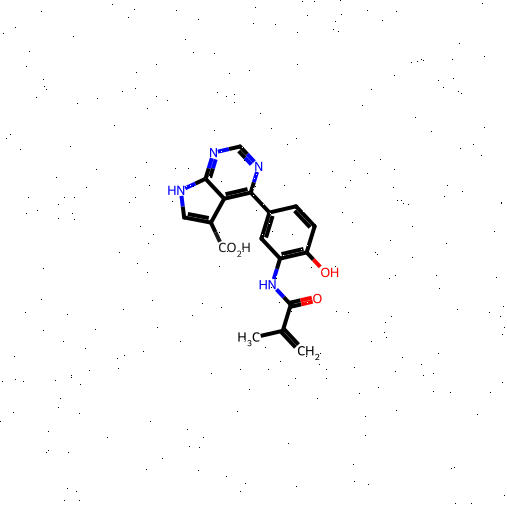 C=C(C)C(=O)Nc1cc(-c2ncnc3[nH]cc(C(=O)O)c23)ccc1O